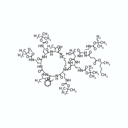 CCCCC(C)OC(=O)CCC(=O)N[C@@H](CCNC(=O)OC(C)(C)C)C(=O)N[C@H](C(=O)N[C@@H](CCNC(=O)OC(C)(C)C)C(=O)N[C@H]1CCNC(=O)[C@H](C(C)O)NC(=O)[C@H](CCNC(=O)OC(C)(C)C)NC(=O)[C@H](CCNC(=O)OC(C)(C)C)NC(=O)[C@H](CC(C)C)NC(=O)[C@@H](Cc2ccccc2)NC(=O)[C@H](CCNC(=O)OC(C)(C)C)NC1)C(C)O